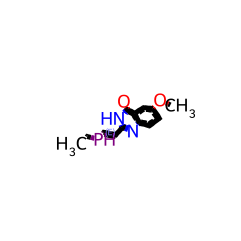 CCP/C=C/c1nc2ccc(OC)cc2c(=O)[nH]1